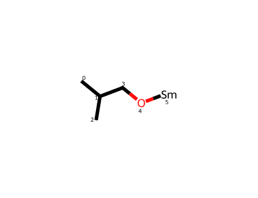 CC(C)C[O][Sm]